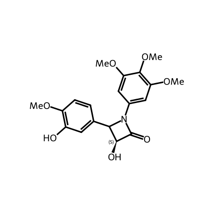 COc1ccc(C2[C@H](O)C(=O)N2c2cc(OC)c(OC)c(OC)c2)cc1O